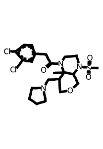 CC12C(CN3CCCC3)COCC1N(S(C)(=O)=O)CCN2C(=O)Cc1ccc(Cl)c(Cl)c1